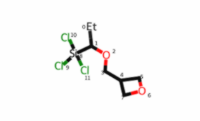 CCC(OCC1COC1)[Si](Cl)(Cl)Cl